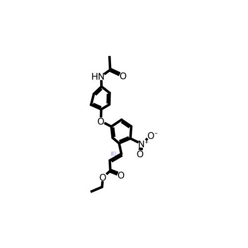 CCOC(=O)/C=C/c1cc(Oc2ccc(NC(C)=O)cc2)ccc1[N+](=O)[O-]